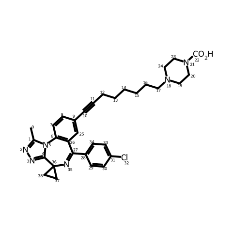 Cc1nnc2n1-c1ccc(C#CCCCCCCN3CCN(C(=O)O)CC3)cc1C(c1ccc(Cl)cc1)=NC21CC1